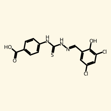 O=C(O)c1ccc(NC(=S)NN=Cc2cc(Cl)cc(Cl)c2O)cc1